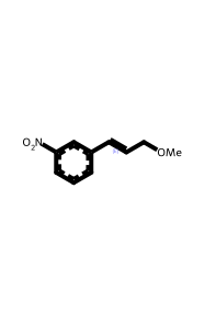 COC/C=C/c1cccc([N+](=O)[O-])c1